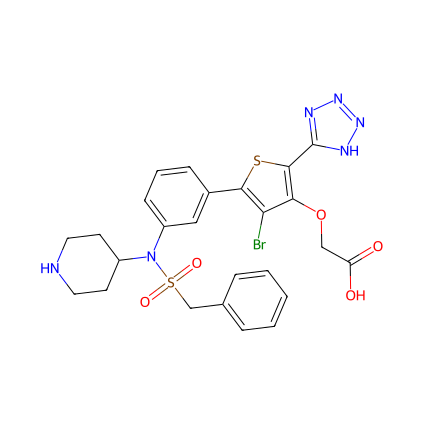 O=C(O)COc1c(-c2nnn[nH]2)sc(-c2cccc(N(C3CCNCC3)S(=O)(=O)Cc3ccccc3)c2)c1Br